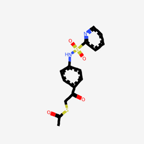 CC(=O)SCC(=O)c1ccc(NS(=O)(=O)c2ccccn2)cc1